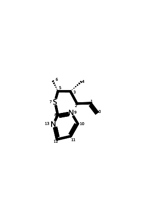 C=CC[C@@H](C)[C@@H](C)Sc1ncccn1